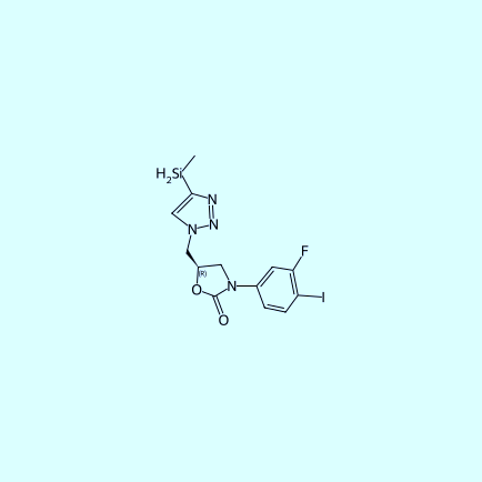 C[SiH2]c1cn(C[C@H]2CN(c3ccc(I)c(F)c3)C(=O)O2)nn1